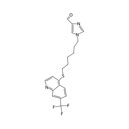 O=Cc1cn(CCCCCCSc2ccnc3cc(C(F)(F)F)ccc23)cn1